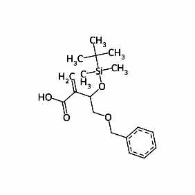 C=C(C(=O)O)C(COCc1ccccc1)O[Si](C)(C)C(C)(C)C